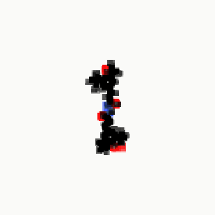 CC(C)(C)c1cc(CCC(=O)/N=N/C(=O)CCc2cc(C(C)(C)C)c3c(c2)C(C)(C)O3)cc(C(C)(C)C)c1O